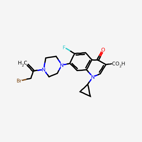 C=C(CBr)N1CCN(c2cc3c(cc2F)c(=O)c(C(=O)O)cn3C2CC2)CC1